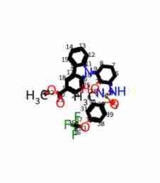 CN=S(=O)(NC1CCCC(n2c3ccccc3c3cc(C(=O)OC)ccc32)C1O)c1ccc(OC(F)(F)F)cc1